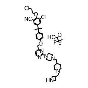 CC(C)(c1ccc(OCc2ccnc(N3CCN(CC4CCN(CC5CNC5)CC4)CC3)n2)cc1)c1cc(Cl)c(OCCCl)c(C#N)c1.O=C(O)C(F)(F)F